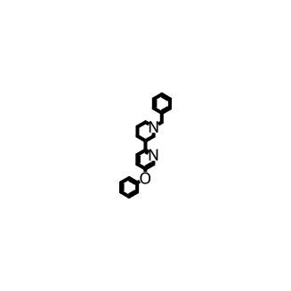 c1ccc(CN2CCCC(c3ccc(Oc4ccccc4)cn3)C2)cc1